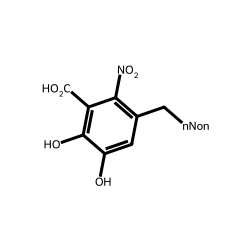 CCCCCCCCCCc1cc(O)c(O)c(C(=O)O)c1[N+](=O)[O-]